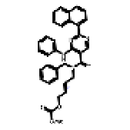 COC(=O)OC/C=C/CN(Cc1ccccc1)C(=O)c1cnc(-c2cccc3ccccc23)nc1Nc1ccccc1